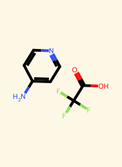 Nc1ccncc1.O=C(O)C(F)(F)F